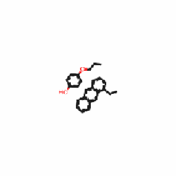 CCCOc1ccc(O)cc1.CCc1cccc2cc3ccccc3cc12